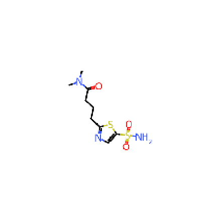 CN(C)C(=O)CCCc1ncc(S(N)(=O)=O)s1